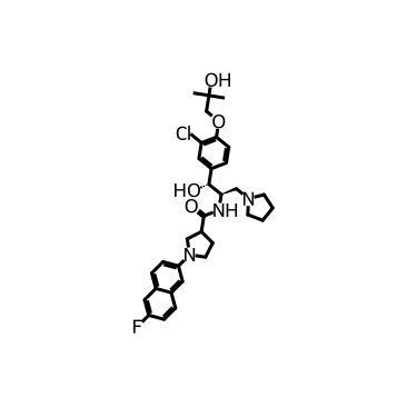 CC(C)(O)COc1ccc([C@@H](O)[C@@H](CN2CCCC2)NC(=O)C2CCN(c3ccc4cc(F)ccc4c3)C2)cc1Cl